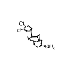 Nc1ccc2[nH]c(-c3ccc(Cl)c(Cl)c3)nc2c1